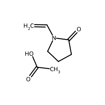 C=CN1CCCC1=O.CC(=O)O